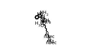 CCCCCCCCCCCN(CC)CCCN(CCCCCCCCCCC)CCCCCC(=O)OC(C)(C)Cn1c(CNCC)nc2c(N)nc3ccccc3c21